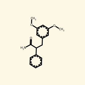 COc1cc(CC(C(N)=O)c2ccccc2)cc(OC)c1